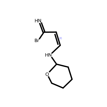 N=C(Br)/C=C\NC1CCCCO1